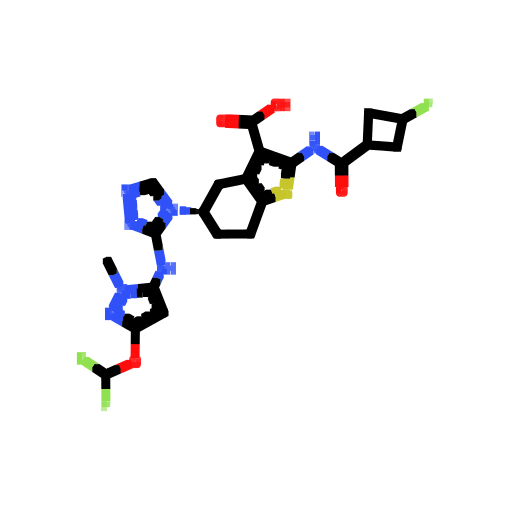 Cn1nc(OC(F)F)cc1Nc1nncn1[C@H]1CCc2sc(NC(=O)C3CC(F)C3)c(C(=O)O)c2C1